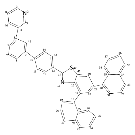 c1cncc(-c2cccc(-c3ccc(-c4nc5c(-c6cccc7ccccc67)cc(-c6cccc7ccccc67)cc5s4)cc3)c2)c1